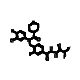 O=C(NNC(=O)C(F)F)c1ccc(CN(C(=O)C2CCSCC2)c2ccc(F)c(Cl)c2)c(F)c1